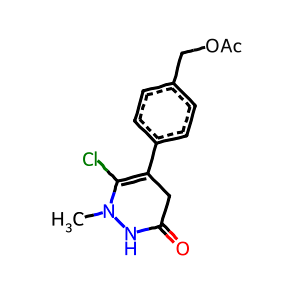 CC(=O)OCc1ccc(C2=C(Cl)N(C)NC(=O)C2)cc1